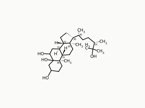 C[C@H](CC[C@H](C)C(C)(C)O)[C@H]1CC[C@H]2[C@@H]3CC(O)C4(O)CC(O)CC[C@]4(C)[C@H]3CC[C@]12C